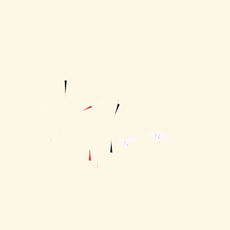 C[C@H](O)[C@H]1O[C@@H]2SC(N)=N[C@@H]2[C@@H](O)[C@@H]1O